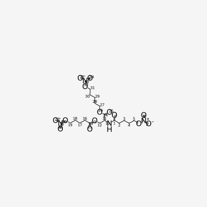 O=C(CCCCO[N+](=O)[O-])NC(COC(=O)CCCCO[N+](=O)[O-])C(=O)OCCCCCO[N+](=O)[O-]